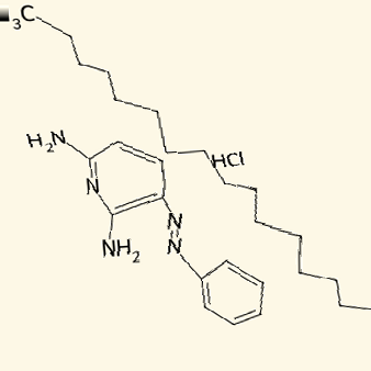 CCCCCCCCCCCCCCCCI.Cl.Nc1ccc(/N=N/c2ccccc2)c(N)n1